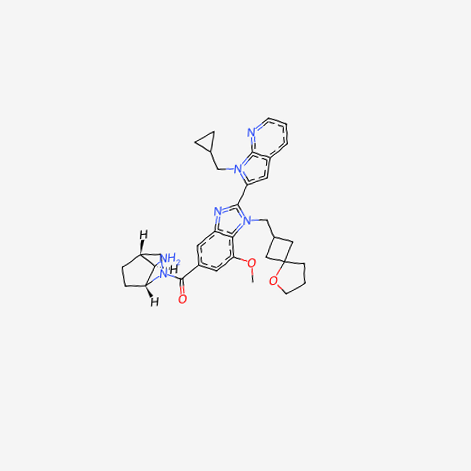 COc1cc(C(=O)N2C[C@H]3CC[C@@H]2[C@@H]3N)cc2nc(-c3cc4cccnc4n3CC3CC3)n(CC3CC4(CCCO4)C3)c12